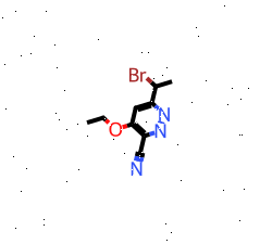 CCOc1cc(C(C)Br)nnc1C#N